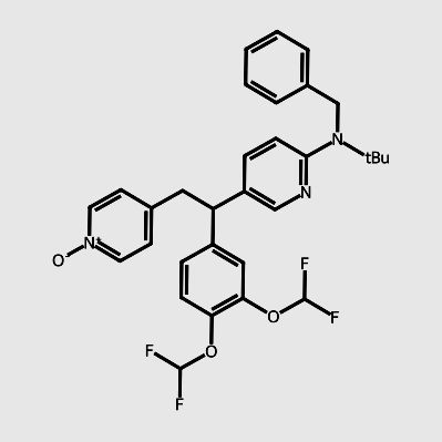 CC(C)(C)N(Cc1ccccc1)c1ccc(C(Cc2cc[n+]([O-])cc2)c2ccc(OC(F)F)c(OC(F)F)c2)cn1